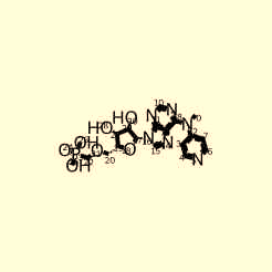 CN(c1ccncc1)c1ncnc2c1ncn2[C@@H]1O[C@H](COCP(=O)(O)O)[C@@H](O)[C@H]1O